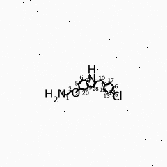 NCCOc1ccc2[nH]c(Cc3ccc(Cl)cc3)cc2c1